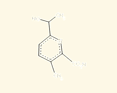 Cc1ccc(C(C)O)nc1C(=O)O